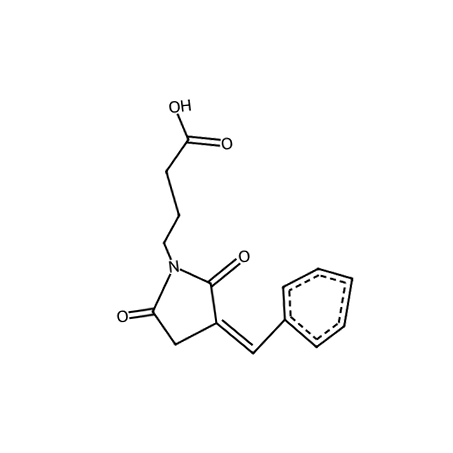 O=C(O)CCCN1C(=O)CC(=Cc2ccccc2)C1=O